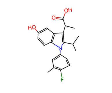 Cc1cc(-n2c(C(C)C)c(C(C)C(=O)O)c3cc(O)ccc32)ccc1F